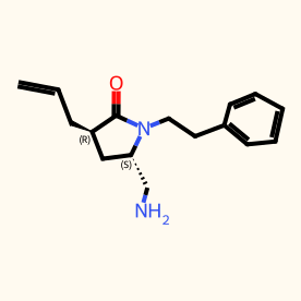 C=CC[C@@H]1C[C@@H](CN)N(CCc2ccccc2)C1=O